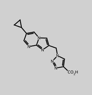 O=C(O)c1cn(Cc2cn3cc(C4CC4)cnc3n2)nn1